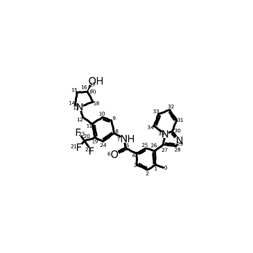 Cc1ccc(C(=O)Nc2ccc(CN3CC[C@@H](O)C3)c(C(F)(F)F)c2)cc1-c1cnc2ccccn12